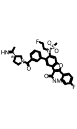 CNC(=O)c1c(-c2ccc(F)cc2)oc2cc(N(CCF)S(C)(=O)=O)c(-c3cccc(C(=O)N4CC[C@@H](C(C)=N)C4)c3)cc12